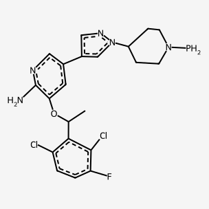 CC(Oc1cc(-c2cnn(C3CCN(P)CC3)c2)cnc1N)c1c(Cl)ccc(F)c1Cl